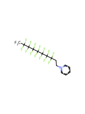 FC(F)(F)C(F)(F)C(F)(F)C(F)(F)C(F)(F)C(F)(F)C(F)(F)C(F)(F)CC[n+]1ccccc1